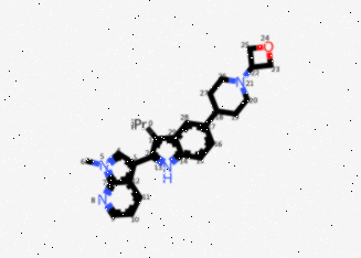 CC(C)c1c(-c2cn(C)c3ncccc23)[nH]c2ccc(C3CCN(C4COC4)CC3)cc12